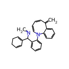 C=NC(C1=CCCC=C1)c1ccccc1N1/C=C\C=C/C(=C)c2ccccc21